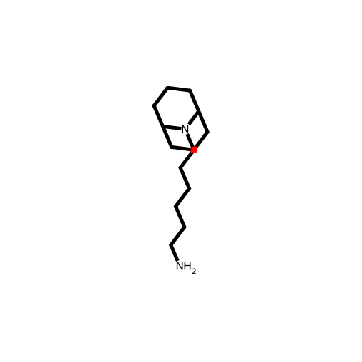 NCCCCCCN1C2CCCC1CCC2